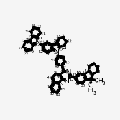 CC1(C)c2ccccc2-c2cc(-c3nc(-c4ccc(-n5c6ccccc6c6cc(-n7c8ccccc8c8ccccc87)ccc65)cc4)c4ccc5ccccc5c4n3)ccc21